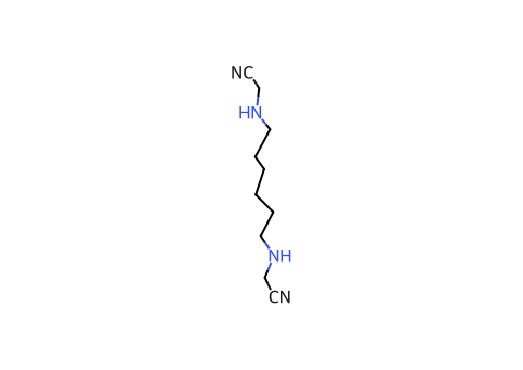 N#CCNCCCCCCNCC#N